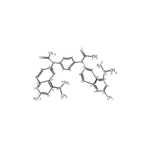 CC(=O)N(c1ccc(N(C(C)=O)c2ccc3nc(C)cc(N(C)C)c3c2)cc1)c1ccc2nc(C)cc(N(C)C)c2c1